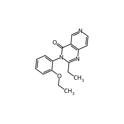 CCOc1ccccc1-n1c(CC)nc2ccncc2c1=O